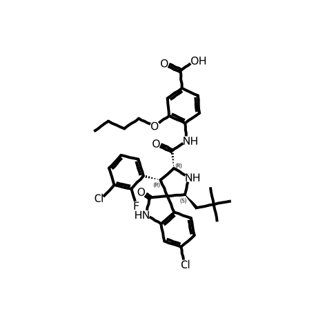 CCCCOc1cc(C(=O)O)ccc1NC(=O)[C@@H]1N[C@@H](CC(C)(C)C)C2(C(=O)Nc3cc(Cl)ccc32)[C@@H]1c1cccc(Cl)c1F